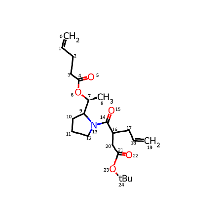 C=CCCC(=O)O[C@@H](C)C1CCCN1C(=O)C(CC=C)CC(=O)OC(C)(C)C